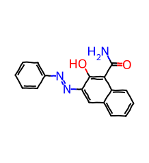 NC(=O)c1c(O)c(N=Nc2ccccc2)cc2ccccc12